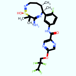 C[C@H]1CC/N=[S@](/O)C(C)(C)/C(N)=N\[C@]1(C)c1cc(NC(=O)c2cnc(OCC(F)(F)C(F)F)cn2)ccc1F